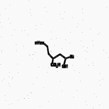 CCCCCCCCC(CC(O)CC)C(=O)O